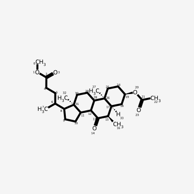 COC(=O)CCC(C)C1CCC2C3C(=O)[C@H](C)[C@@H]4C[C@H](OC(C)=O)CC[C@]4(C)C3CC[C@]12C